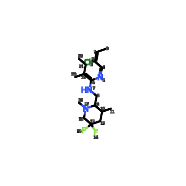 C\C=C(Cl)/C=N\C(NCC1C(C)CC(F)(F)CN1C)=C(\C)CC